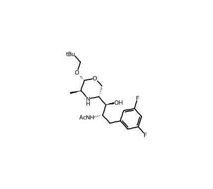 CC(=O)N[C@@H](Cc1cc(F)cc(F)c1)[C@H](O)[C@H]1CO[C@@H](OCC(C)(C)C)[C@H](C)N1